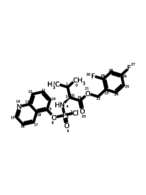 CC(C)[C@H](NP(=O)(Cl)Oc1cccc2ncccc12)C(=O)OCc1ccc(F)cc1F